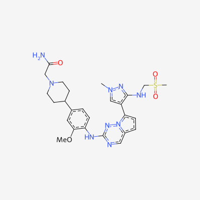 COc1cc(C2CCN(CC(N)=O)CC2)ccc1Nc1ncc2ccc(-c3cn(C)nc3NCS(C)(=O)=O)n2n1